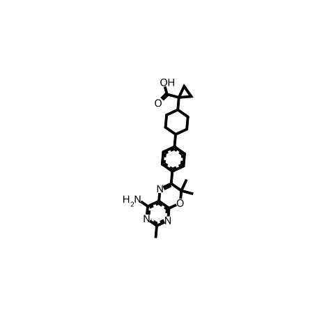 Cc1nc(N)c2c(n1)OC(C)(C)C(c1ccc(C3CCC(C4(C(=O)O)CC4)CC3)cc1)=N2